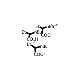 CCCCC(CC)C(=O)O.CCCCC(CC)C(=O)[O-].CCCCC(CC)C(=O)[O-].[Sr+2]